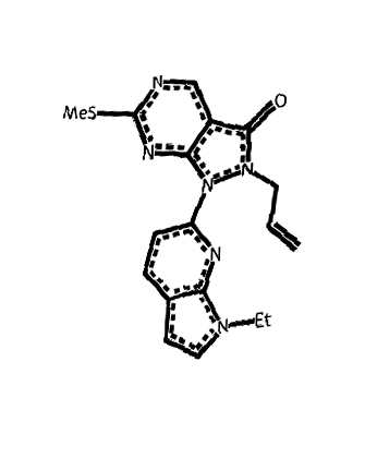 C=CCn1c(=O)c2cnc(SC)nc2n1-c1ccc2ccn(CC)c2n1